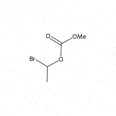 COC(=O)OC(C)Br